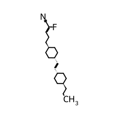 CCC[C@H]1CC[C@H](C=C[C@H]2CC[C@H](CCC=C(F)C#N)CC2)CC1